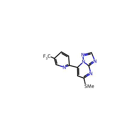 CSc1cc(-c2ccc(C(F)(F)F)cn2)n2ncnc2n1